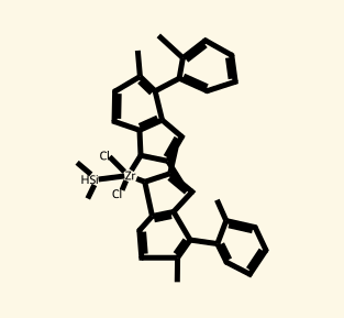 CC1=Cc2c(ccc(C)c2-c2ccccc2C)[CH]1[Zr]([Cl])([Cl])([CH]1C(C)=Cc2c1ccc(C)c2-c1ccccc1C)[SiH](C)C